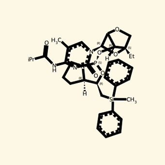 CC[C@@]12COC([C@H](n3cc(C)c(NC(=O)C(C)C)nc3=O)O1)[C@H]2O[P@]1O[C@@H](C[Si](C)(c2ccccc2)c2ccccc2)[C@H]2CCCN21